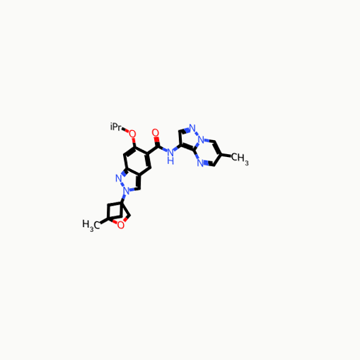 Cc1cnc2c(NC(=O)c3cc4cn(C56COC(C)(C5)C6)nc4cc3OC(C)C)cnn2c1